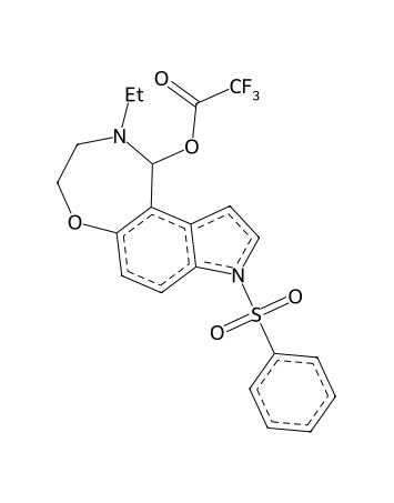 CCN1CCOc2ccc3c(ccn3S(=O)(=O)c3ccccc3)c2C1OC(=O)C(F)(F)F